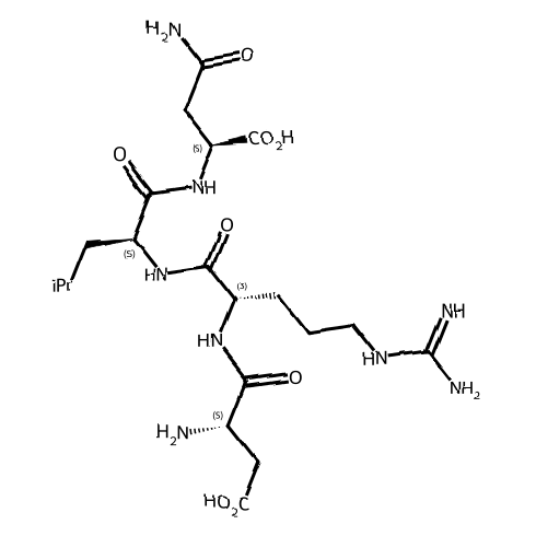 CC(C)C[C@H](NC(=O)[C@H](CCCNC(=N)N)NC(=O)[C@@H](N)CC(=O)O)C(=O)N[C@@H](CC(N)=O)C(=O)O